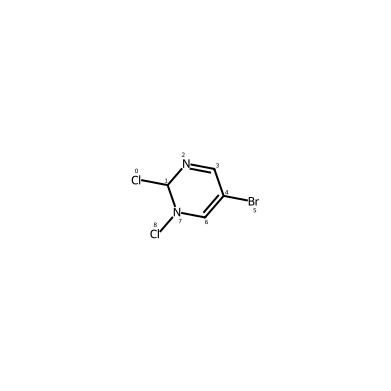 ClC1N=CC(Br)=CN1Cl